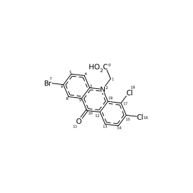 O=C(O)Cn1c2ccc(Br)cc2c(=O)c2ccc(Cl)c(Cl)c21